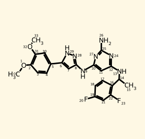 COc1ccc(-c2cc(Nc3cc(NC(C)c4ccc(F)cc4F)nc(N)n3)n[nH]2)cc1OC